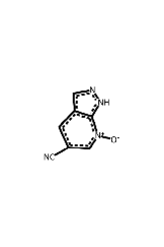 N#Cc1cc2cn[nH]c2[n+]([O-])c1